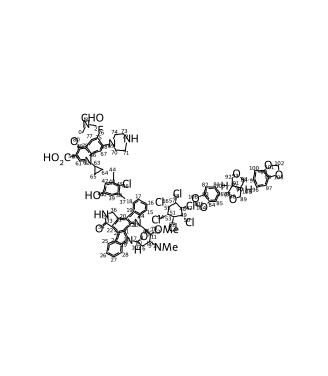 CN(C)C=O.CN[C@H]1C[C@@H]2O[C@](C)([C@H]1OC)n1c3ccccc3c3c4c(c5c6ccccc6n2c5c31)C(=O)NC4.Cc1cc(O)cc(C)c1Cl.Cl[C@H]1[C@H](Cl)[C@@H](Cl)[C@@H](Cl)[C@H](Cl)[C@H]1Cl.O=C(O)c1cn(C2CC2)c2cc(N3CCNCC3)c(F)cc2c1=O.c1cc2c(cc1[C@H]1OC[C@H]3[C@@H]1CO[C@@H]3c1ccc3c(c1)OCO3)OCO2